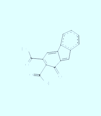 O=C(O)C1=C(C(=O)O)C(=O)C2=Cc3ccccc3C2=C1